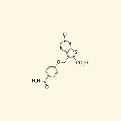 CCOC(=O)c1sc2cc(Cl)ccc2c1COc1ccc(C(N)=O)cc1